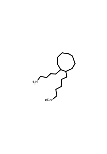 CCCCCCCCCCCCCCCC1CCCCCCCC1CCCCN